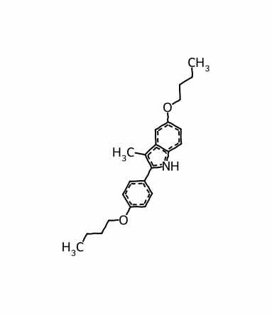 CCCCOc1ccc(-c2[nH]c3ccc(OCCCC)cc3c2C)cc1